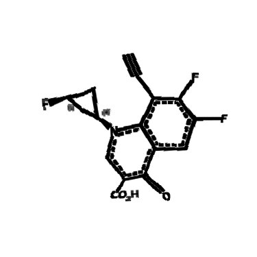 C#Cc1c(F)c(F)cc2c(=O)c(C(=O)O)cn([C@@H]3C[C@@H]3F)c12